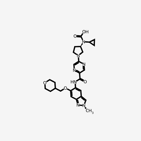 Cn1cc2cc(NC(=O)c3cnc(N4CC[C@@H](N(C(=O)O)C5CC5)C4)cn3)c(OCC3CCOCC3)cc2n1